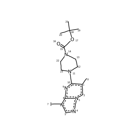 Cc1cn2ncc(I)c2nc1N1CCN(C(=O)OC(C)(C)C)CC1